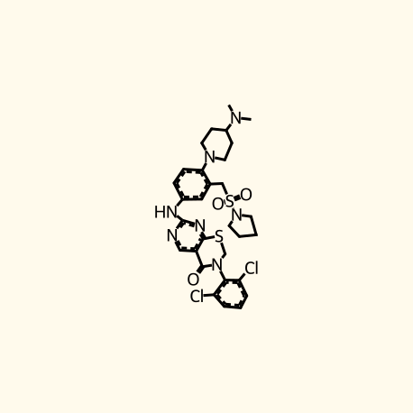 CN(C)C1CCN(c2ccc(Nc3ncc4c(n3)SCN(c3c(Cl)cccc3Cl)C4=O)cc2CS(=O)(=O)N2CCCC2)CC1